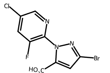 O=C(O)c1cc(Br)nn1-c1ncc(Cl)cc1F